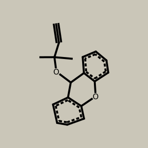 C#CC(C)(C)OC1c2ccccc2Oc2ccccc21